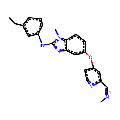 CCc1cccc(Nc2nc3cc(Oc4ccnc(/C=N\C)c4)ccc3n2C)c1